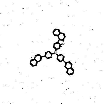 c1ccc2cc(-c3ccc(N(c4ccc(-c5ccc6ccccc6c5)cc4)c4ccc5c(c4)sc4ccc6ccccc6c45)cc3)ccc2c1